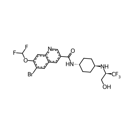 O=C(N[C@H]1CC[C@H](N[C@H](CO)C(F)(F)F)CC1)c1cnc2cc(OC(F)F)c(Br)cc2c1